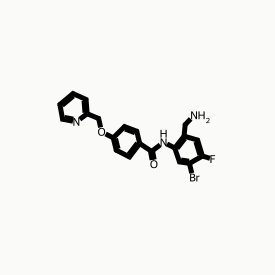 NCc1cc(F)c(Br)cc1NC(=O)c1ccc(OCc2ccccn2)cc1